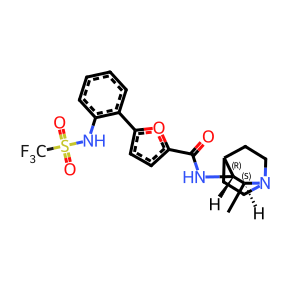 C[C@H]1[C@H](NC(=O)c2ccc(-c3ccccc3NS(=O)(=O)C(F)(F)F)o2)C2CCN1CC2